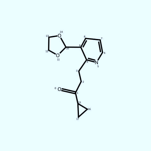 O=C(CCc1ncccc1C1OCCO1)C1CC1